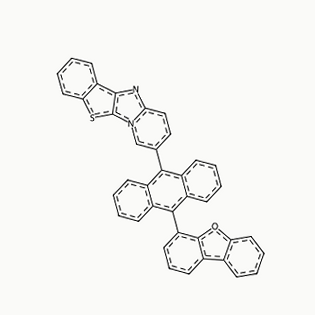 c1ccc2c(c1)oc1c(-c3c4ccccc4c(-c4ccc5nc6c7ccccc7sc6n5c4)c4ccccc34)cccc12